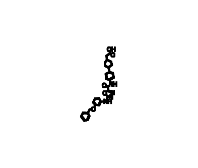 O=C(O)CC1CCC(c2ccc(NC(=O)c3nnc(Nc4cccc(OCc5ccccc5)c4)o3)cc2)CC1